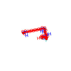 CC[C@@]1(O)C(=O)OCc2c1cc1n(c2=O)Cc2c-1nc1cc(F)c(C)c3c1c2[C@@H](NC(=O)C(C)(C)NC(=O)OCc1ccc(NC(=O)[C@H](C)NC(=O)[C@H](C)NC(=O)CCOCCOCCOCCOCCOCCOCCOCCOCCNC(=O)CCN2C(=O)CC(C)C2=O)cc1)CC3